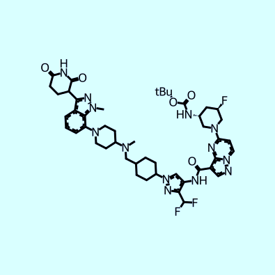 CN(CC1CCC(n2cc(NC(=O)c3cnn4ccc(N5C[C@H](F)C[C@@H](NC(=O)OC(C)(C)C)C5)nc34)c(C(F)F)n2)CC1)C1CCN(c2cccc3c(C4CCC(=O)NC4=O)nn(C)c23)CC1